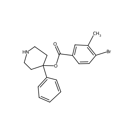 Cc1cc(C(=O)OC2(c3ccccc3)CCNCC2)ccc1Br